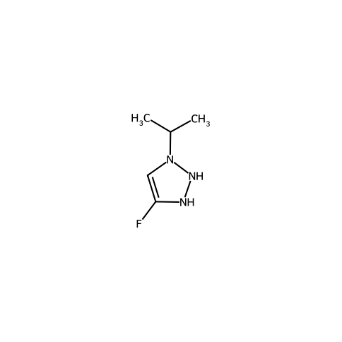 CC(C)N1C=C(F)NN1